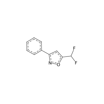 FC(F)c1cc(-c2ccccc2)no1